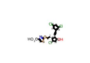 O=C(O)c1csc(SCC[C@@H]2[C@@H](C#Cc3cc(Cl)cc(Cl)c3)[C@H](O)C[C@@H]2Cl)n1